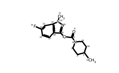 CC1CCN(C(=O)Oc2nn(C)c3cc(F)ccc23)CC1